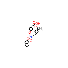 CCOC(Cc1ccc(OCCN(CCCc2ccccc2)C(=O)Oc2ccc3c(c2)CCC3)cc1)C(=O)O